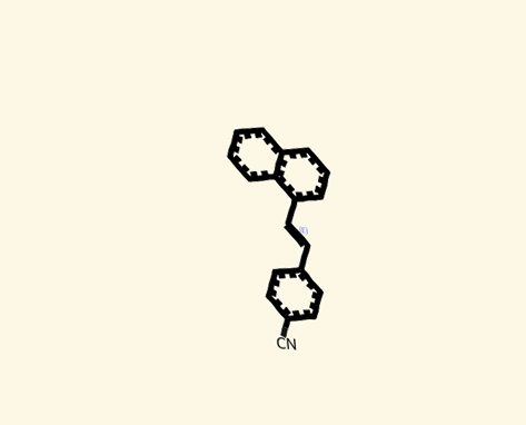 N#Cc1ccc(/C=C/c2cccc3ccccc23)cc1